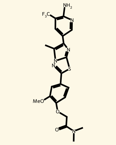 COc1cc(-c2nn3c(C)c(-c4cnc(N)c(C(F)(F)F)c4)nc3s2)ccc1OCC(=O)N(C)C